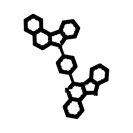 c1ccc2c(c1)ccc1c2c2ccccc2n1-c1ccc(-c2nc3ccccc3c3nc4ccccc4n23)cc1